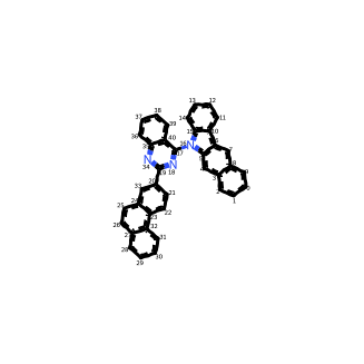 c1ccc2cc3c(cc2c1)c1ccccc1n3-c1nc(-c2ccc3c(ccc4ccccc43)c2)nc2ccccc12